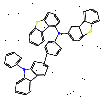 c1ccc(-n2c3ccccc3c3ccc(-c4ccc(N(c5ccc6sc7ccccc7c6c5)c5cccc6sc7ccccc7c56)cc4)cc32)cc1